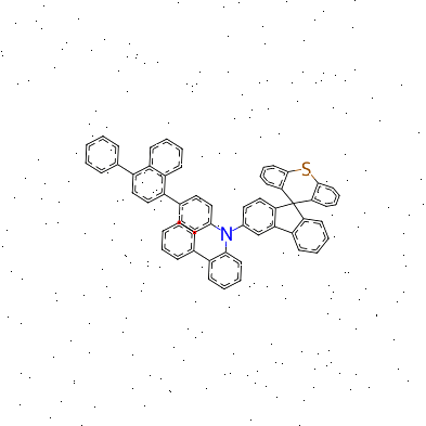 c1ccc(-c2ccccc2N(c2ccc(-c3ccc(-c4ccccc4)c4ccccc34)cc2)c2ccc3c(c2)-c2ccccc2C32c3ccccc3Sc3ccccc32)cc1